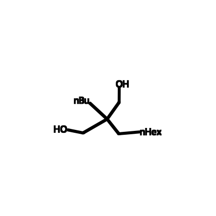 CCCCCCCC(CO)(CO)CCCC